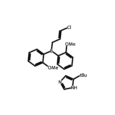 CC(C)(C)c1cnc[nH]1.COc1ccccc1B(CC=CCl)c1ccccc1OC